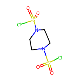 O=S(=O)(Cl)N1CCN(S(=O)(=O)Cl)CC1